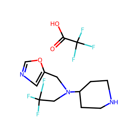 FC(F)(F)CN(Cc1cnco1)C1CCNCC1.O=C(O)C(F)(F)F